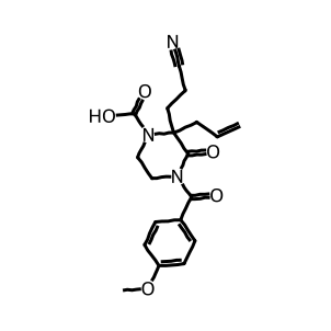 C=CCC1(CCC#N)C(=O)N(C(=O)c2ccc(OC)cc2)CCN1C(=O)O